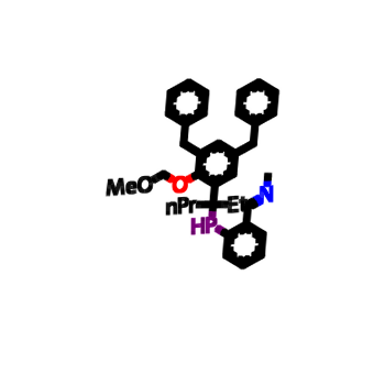 CCCC(CC)(Pc1ccccc1/C=N/C)c1cc(Cc2ccccc2)cc(Cc2ccccc2)c1OCOC